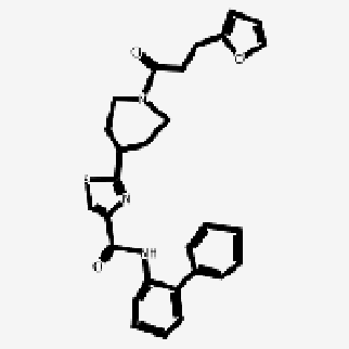 O=C(Nc1ccccc1-c1ccccc1)c1csc(C2CCN(C(=O)CCc3ccco3)CC2)n1